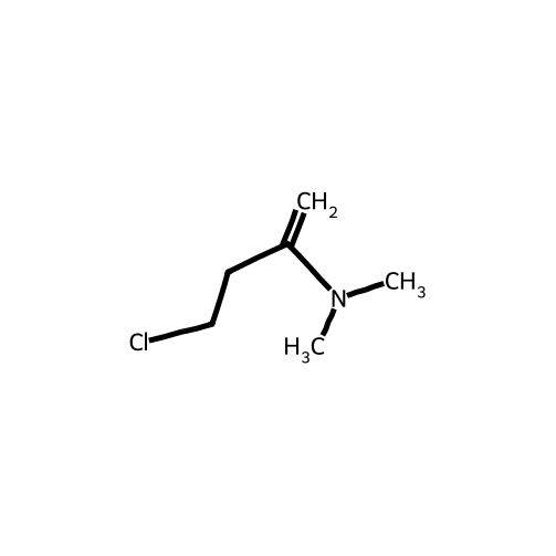 C=C(CCCl)N(C)C